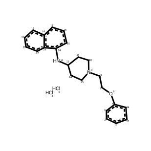 Cl.Cl.c1ccc(OCCN2CCC(Nc3cccc4ccccc34)CC2)cc1